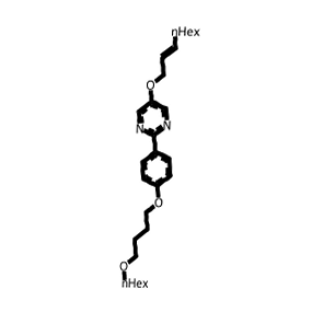 CCCCCCC=CCOc1cnc(-c2ccc(OCCCCOCCCCCC)cc2)nc1